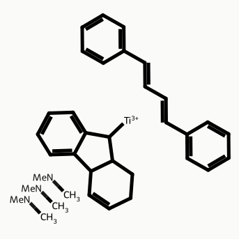 C(C=Cc1ccccc1)=Cc1ccccc1.C[N-]C.C[N-]C.C[N-]C.[Ti+3][CH]1c2ccccc2C2C=CCCC12